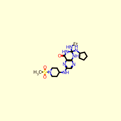 CCNC1(NC2CCCC2)NC(=O)c2nc(NC3CCN(S(C)(=O)=O)CC3)cnc2N1